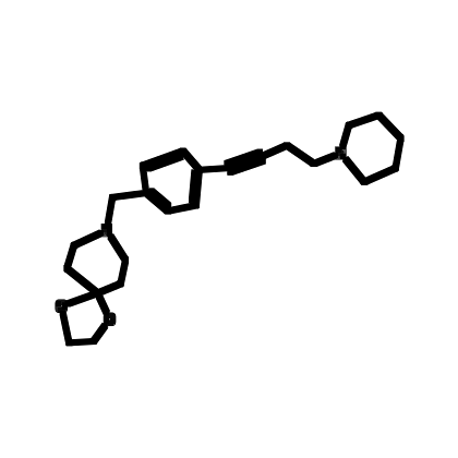 C(#Cc1ccc(CN2CCC3(CC2)OCCO3)cc1)CCN1CCCCC1